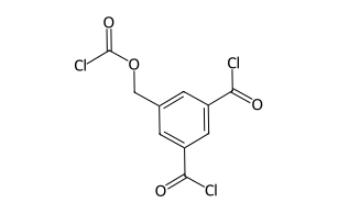 O=C(Cl)OCc1cc(C(=O)Cl)cc(C(=O)Cl)c1